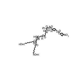 CCCCCCCCCCCCCCCCCC(=O)OC[C@H](COP(=O)(O)OCCNOC(=O)CCCC(=O)N[C@H](C(=O)N[C@@H](C)C(=O)Nc1ccc(COC(=O)Oc2ccc([N+](=O)[O-])cc2)cc1)C(C)C)OC(=O)CCCCCCCCCCCCCCCCC